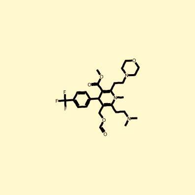 COC(=O)C1=C(CCN2CCOCC2)N(C)C(CCN(C)C)=C(COC=O)C1c1ccc(C(F)(F)F)cc1